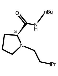 CCCCNC(=O)[C@@H]1CCCN1CCC(C)C